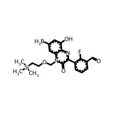 Bc1cc(O)c2nc(-c3cccc(C=O)c3F)c(=O)n(COCC[Si](C)(C)C)c2c1